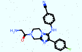 N#Cc1ccc(Nc2c(-c3ccc(F)cc3)nc3n2CCN(C(=O)CN)C3)cc1